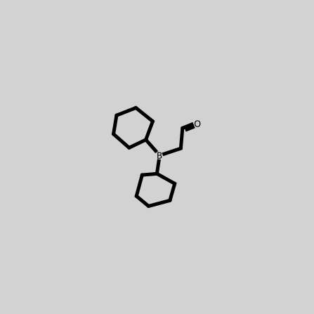 O=CCB(C1CCCCC1)C1CCCCC1